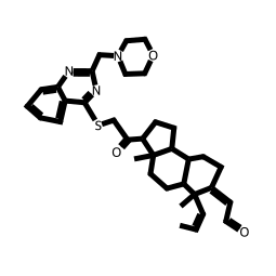 C/C=C\C1(C)/C(=C\C=O)CCC2C1CCC1(C)C(C(=O)CSc3nc(CN4CCOCC4)nc4ccccc34)CCC21